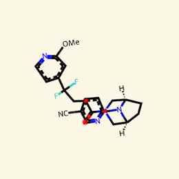 COc1cc(C(F)(F)CCC(=O)N2C[C@H]3CC[C@@H](C2)N3c2ccc(C#N)cn2)ccn1